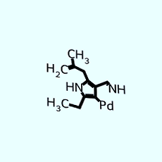 C=C(C)Cc1[nH]c(CC)[c]([Pd])c1C=N